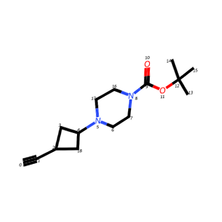 C#CC1CC(N2CCN(C(=O)OC(C)(C)C)CC2)C1